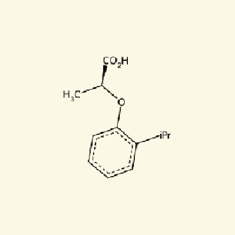 CC(C)c1ccccc1O[C@@H](C)C(=O)O